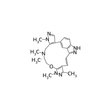 Cc1nn(C)c2c1/C=C/c1n[nH]c3ccc(cc13)-c1cnn(C)c1CN(C)[C@@H](C)CO2